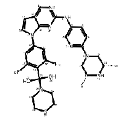 C[C@@H]1CN(c2ccc(Nc3ncc4ccn(-c5cc(F)c(C(O)(O)N6CCSCC6)c(F)c5)c4n3)cn2)C[C@H](C)N1